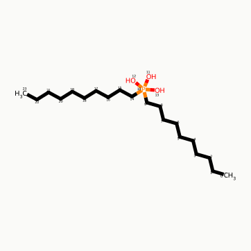 CCCCCCCCCCP(O)(O)(O)CCCCCCCCCC